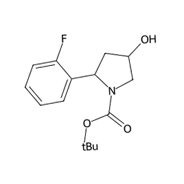 CC(C)(C)OC(=O)N1CC(O)CC1c1ccccc1F